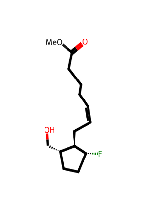 COC(=O)CCC/C=C\C[C@@H]1[C@@H](CO)CC[C@H]1F